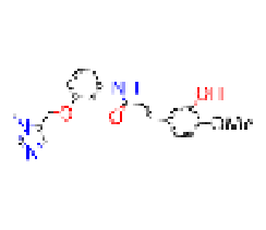 COc1ccc(C=CC(=O)Nc2cccc(OCc3cncn3C)c2)cc1O